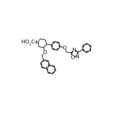 O=C(O)N1CCC(c2ccc(OCc3nc(-c4ccccc4)no3)cc2)C(OCc2ccc3ccccc3c2)C1